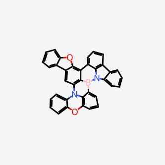 c1ccc2c(c1)Oc1cccc3c1N2c1cc2c(oc4ccccc42)c2c1B3n1c3ccccc3c3cccc-2c31